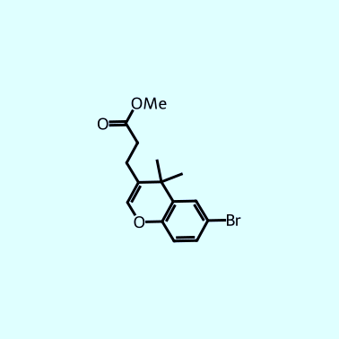 COC(=O)CCC1=COc2ccc(Br)cc2C1(C)C